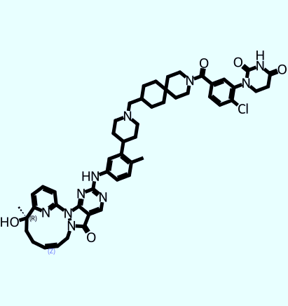 Cc1ccc(Nc2ncc3c(=O)n4n(c3n2)-c2cccc(n2)[C@](C)(O)CC/C=C\C4)cc1C1CCN(CC2CCC3(CC2)CCN(C(=O)c2ccc(Cl)c(N4CCC(=O)NC4=O)c2)CC3)CC1